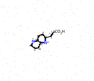 O=C(O)/C=C/c1ccc2ncccc2n1